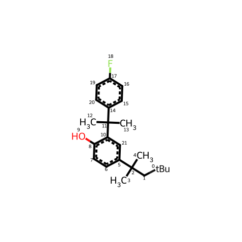 CC(C)(C)CC(C)(C)c1ccc(O)c(C(C)(C)c2ccc(F)cc2)c1